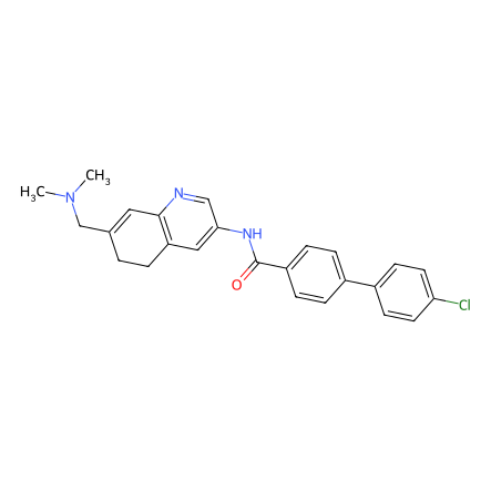 CN(C)CC1=Cc2ncc(NC(=O)c3ccc(-c4ccc(Cl)cc4)cc3)cc2CC1